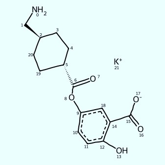 NC[C@H]1CC[C@H](C(=O)Oc2ccc(O)c(C(=O)[O-])c2)CC1.[K+]